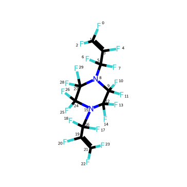 FC(F)=C(F)C(F)(F)N1C(F)(F)C(F)(F)N(C(F)(F)C(F)=C(F)F)C(F)(F)C1(F)F